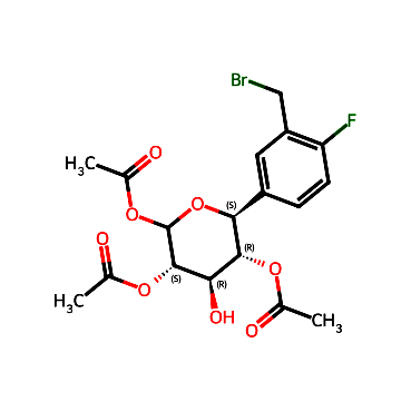 CC(=O)OC1O[C@@H](c2ccc(F)c(CBr)c2)[C@H](OC(C)=O)[C@@H](O)[C@@H]1OC(C)=O